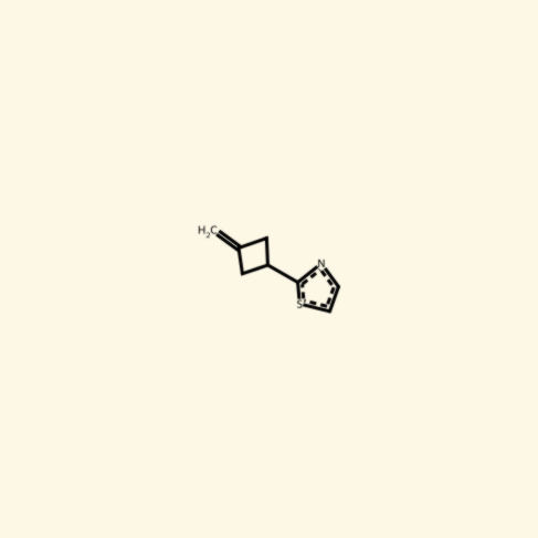 C=C1CC(c2nccs2)C1